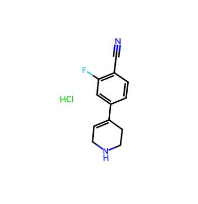 Cl.N#Cc1ccc(C2=CCNCC2)cc1F